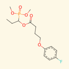 CCC(OC(=O)CCCOc1ccc(F)cc1)P(=O)(OC)OC